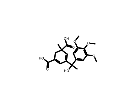 COc1cc(C(C)(O)C2=CC(C)(C(=O)O)CC(C(=O)O)=C2)cc(OC)c1OC